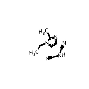 CCn1ccnc1C.N#CNC#N